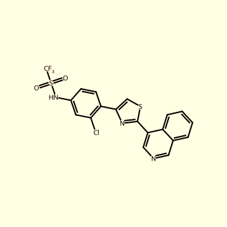 O=S(=O)(Nc1ccc(-c2csc(-c3cncc4ccccc34)n2)c(Cl)c1)C(F)(F)F